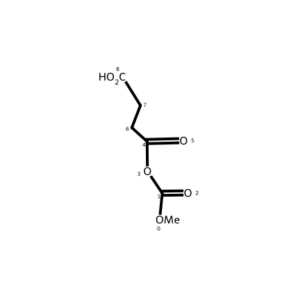 COC(=O)OC(=O)CCC(=O)O